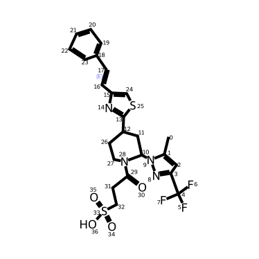 Cc1cc(C(F)(F)F)nn1C1CC(c2nc(/C=C/c3ccccc3)cs2)CCN1C(=O)CCS(=O)(=O)O